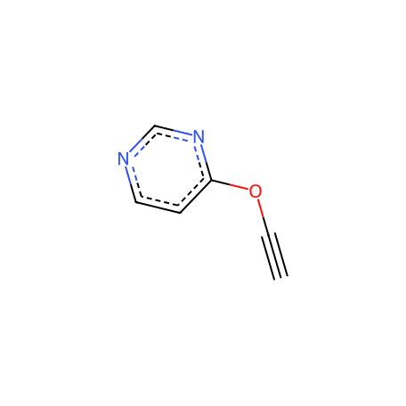 C#COc1ccncn1